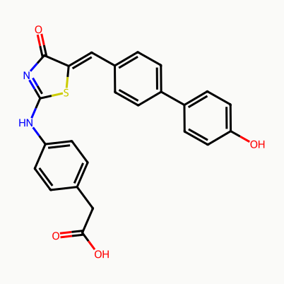 O=C(O)Cc1ccc(NC2=NC(=O)C(=Cc3ccc(-c4ccc(O)cc4)cc3)S2)cc1